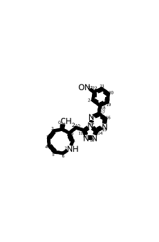 C=C1/C=C\C=C/CN/C=C\1Cc1nnc2ncc(-c3cccc(N=O)c3)nn12